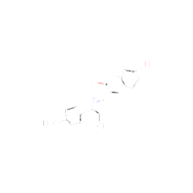 Cc1ccc(-c2nc(-c3cc4ccc(O)cc4oc3=O)sc2C)cc1